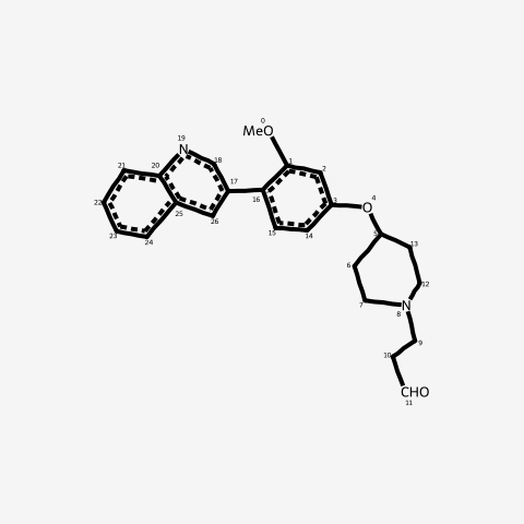 COc1cc(OC2CCN(CCC=O)CC2)ccc1-c1cnc2ccccc2c1